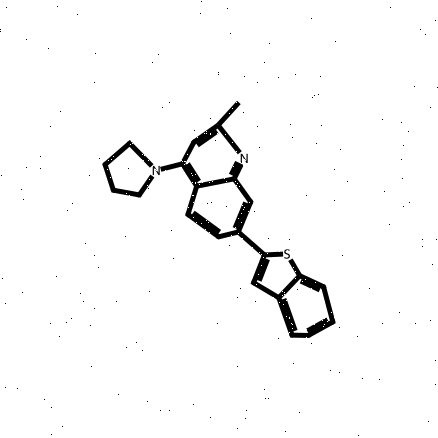 Cc1cc(N2CCCC2)c2ccc(-c3cc4ccccc4s3)cc2n1